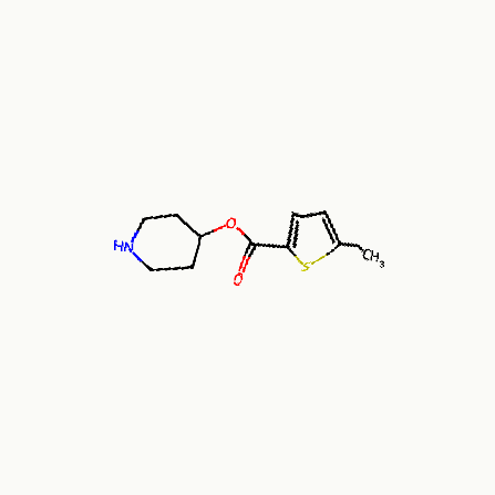 Cc1ccc(C(=O)OC2CCNCC2)s1